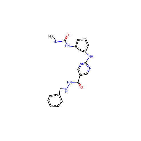 CNC(=O)Nc1cccc(Nc2ncc(C(=O)NNCc3ccccc3)cn2)c1